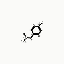 CCN(C)Cc1ccc(Cl)cc1